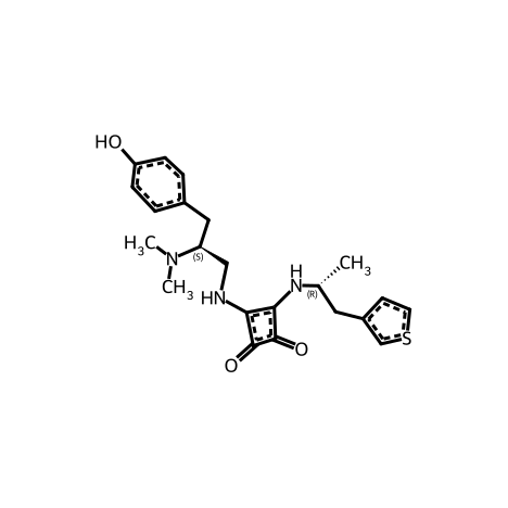 C[C@H](Cc1ccsc1)Nc1c(NC[C@H](Cc2ccc(O)cc2)N(C)C)c(=O)c1=O